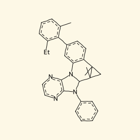 CCc1cccc(C)c1-c1ccc2c(c1)N1c3nccnc3N(c3ccccc3)C1C1(C)CC21C